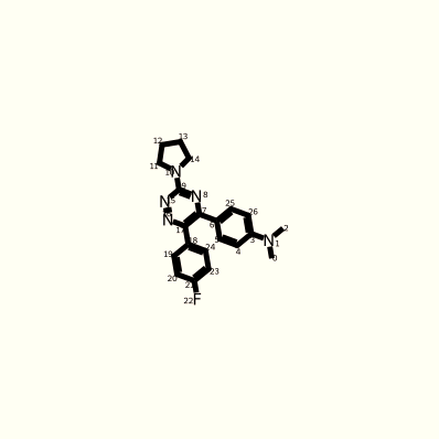 CN(C)c1ccc(-c2nc(N3CCCC3)nnc2-c2ccc(F)cc2)cc1